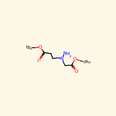 CC(C)(C)OC(=O)CCN(N)CC(=O)OC(C)(C)C